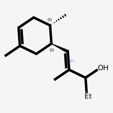 CCC(O)/C(C)=C/[C@H]1CC(C)=CC[C@@H]1C